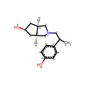 CC(CN1C[C@H]2C[C@@H](O)C[C@H]2C1)c1ccc(O)cc1